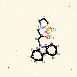 O=S1(=O)CCCN1CC(O)Cn1c2ccccc2c2ccccc21